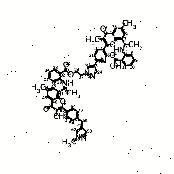 Cc1cc([C@@H](C)Nc2ccccc2C(=O)O)c2oc(-c3ccc(-c4cnn(CCOC(=O)c5ccccc5N[C@H](C)c5cc(C)cc6c(=O)c(C)c(-c7ccc(Cc8cnn(C)c8)cc7)oc56)c4)nc3)c(C)c(=O)c2c1